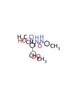 CCC(CC(=O)OC)c1ccc(N2CCC[C@H]2C(C)(C)O)c(NC(=O)Nc2ccc(C)cc2)c1